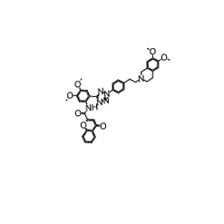 COc1cc2c(cc1OC)CN(CCc1ccc(-n3nnc(-c4cc(OC)c(OC)cc4NC(=O)c4cc(=O)c5ccccc5o4)n3)cc1)CC2